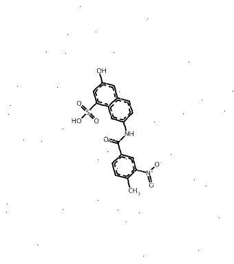 Cc1ccc(C(=O)Nc2ccc3cc(O)cc(S(=O)(=O)O)c3c2)cc1[N+](=O)[O-]